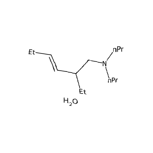 CCC=CC(CC)CN(CCC)CCC.O